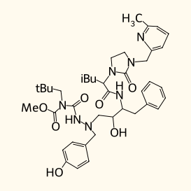 CCC(C)C(C(=O)NC(Cc1ccccc1)C(O)CN(Cc1ccc(O)cc1)NC(=O)N(CC(C)(C)C)C(=O)OC)N1CCN(Cc2cccc(C)n2)C1=O